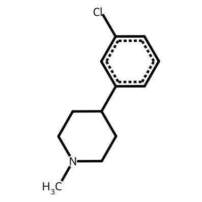 CN1CCC(c2cccc(Cl)c2)CC1